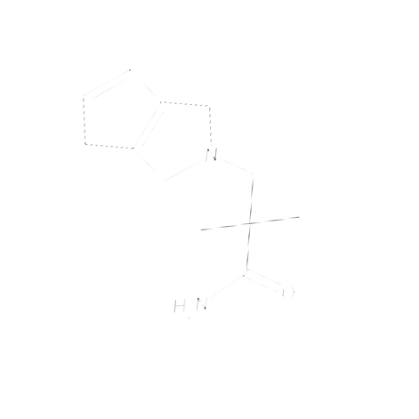 CC(C)(CN1CC2=C(CC=C2)C1)C(N)=O